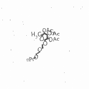 CCCOCCOCCOC1O[C@@H](C)C(OC(C)=O)C(OC(C)=O)[C@@H]1OC(C)=O